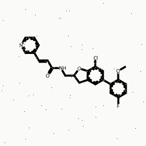 COc1ccc(F)cc1-c1cc(Cl)c2c(c1)CC(CNC(=O)/C=C/c1cccnc1)O2